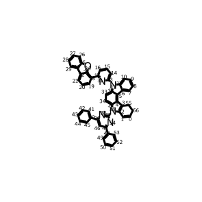 C1=Cc2c(c3c4c5ccccc5n(-c5cccc(-c6cccc7c6oc6ccccc67)n5)c4ccc3n2-c2nc(-c3ccccc3)cc(-c3ccccc3)n2)CC1